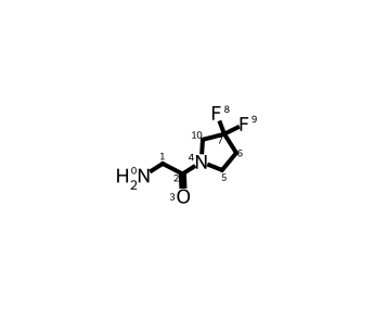 NCC(=O)N1CCC(F)(F)C1